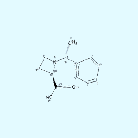 C[C@H](c1ccccc1)N1CC[C@@H]1C(=O)O